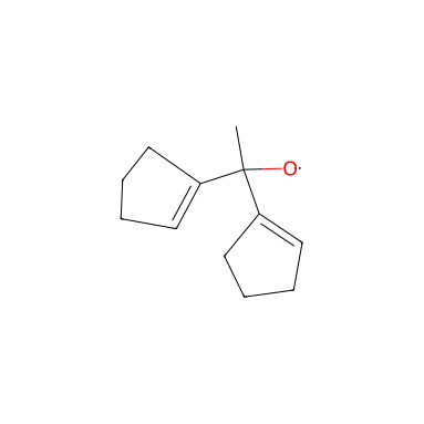 CC([O])(C1=CCCC1)C1=CCCC1